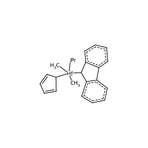 C[CH](C)[Hf]([CH3])([CH3])([CH]1C=CC=C1)[CH]1c2ccccc2-c2ccccc21